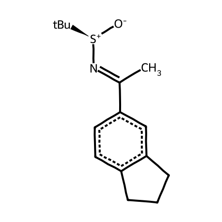 CC(=N[S@+]([O-])C(C)(C)C)c1ccc2c(c1)CCC2